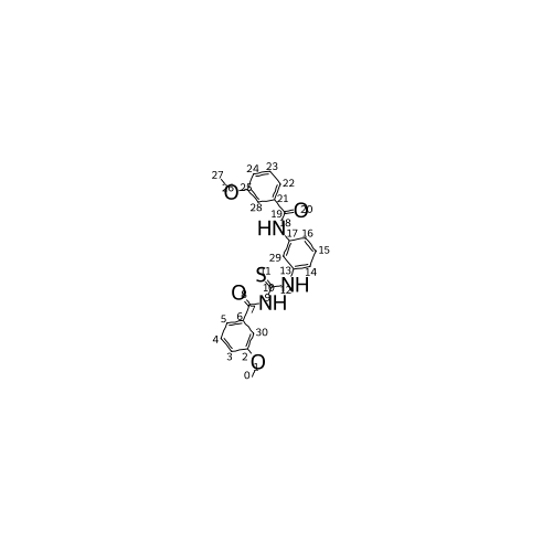 COc1cccc(C(=O)NC(=S)Nc2cccc(NC(=O)c3cccc(OC)c3)c2)c1